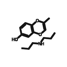 CC1=COc2cc(O)ccc2O1.CCCNCCC